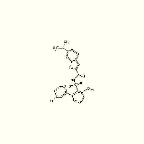 CCOc1cccc(-c2cccc(Cl)c2)c1S(=O)(=O)NC(=O)c1cc2ccc(N(C)C)cc2o1